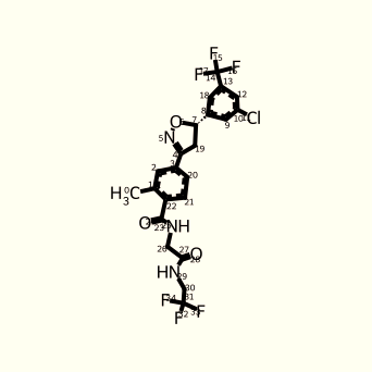 Cc1cc(C2=NO[C@H](c3cc(Cl)cc(C(F)(F)F)c3)C2)ccc1C(=O)NCC(=O)NCC(F)(F)F